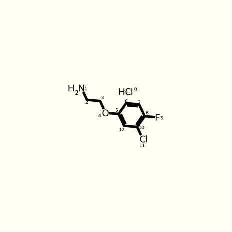 Cl.NCCOc1ccc(F)c(Cl)c1